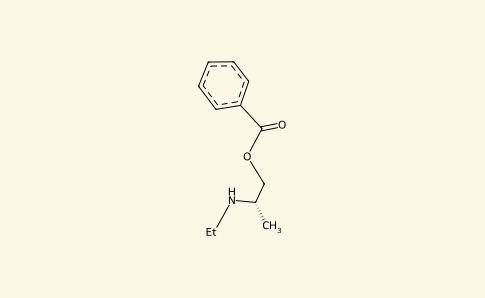 CCN[C@@H](C)COC(=O)c1ccccc1